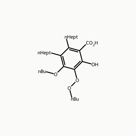 CCCCCCCc1c(CCCCCCC)c(C(=O)O)c(O)c(OOCCCC)c1OCCCC